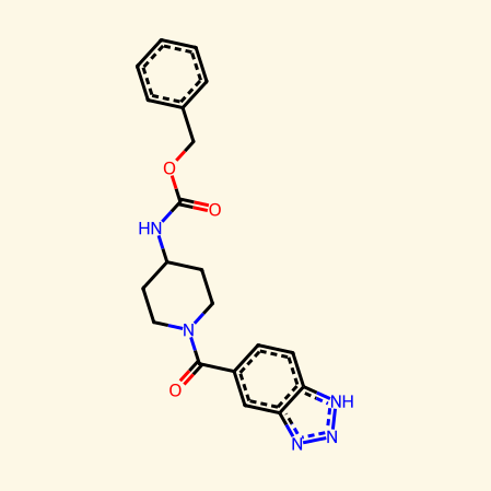 O=C(NC1CCN(C(=O)c2ccc3[nH]nnc3c2)CC1)OCc1ccccc1